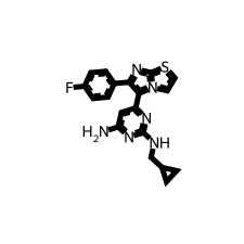 Nc1cc(-c2c(-c3ccc(F)cc3)nc3sccn23)nc(NCC2CC2)n1